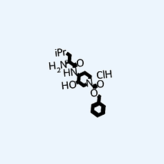 CC(C)C[C@H](N)C(=O)NC1CCN(C(=O)OCc2ccccc2)CC1O.Cl